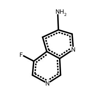 Nc1cnc2cncc(F)c2c1